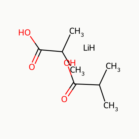 CC(C)C(=O)O.CC(C)C(=O)O.[LiH]